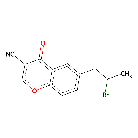 CC(Br)Cc1ccc2occ(C#N)c(=O)c2c1